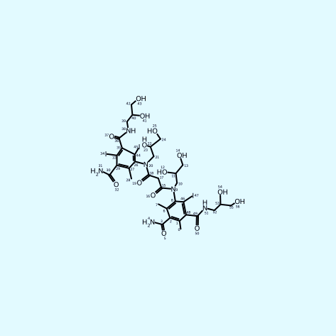 Cc1c(C(N)=O)c(C)c(N(CC(O)CO)C(=O)CC(=O)N(CC(O)CO)c2c(C)c(C(N)=O)c(I)c(C(=O)NCC(O)CO)c2I)c(I)c1C(=O)NCC(O)CO